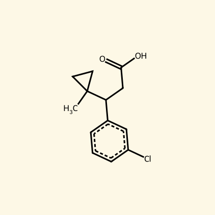 CC1(C(CC(=O)O)c2cccc(Cl)c2)CC1